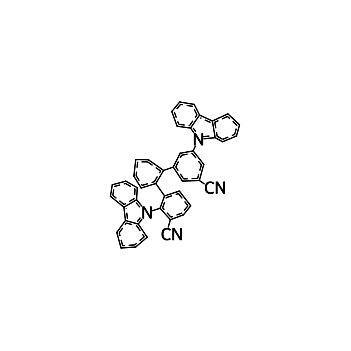 N#Cc1cc(-c2ccccc2-c2cccc(C#N)c2-n2c3ccccc3c3ccccc32)cc(-n2c3ccccc3c3ccccc32)c1